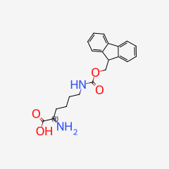 N[C@H](CCCCNC(=O)OCC1c2ccccc2-c2ccccc21)C(=O)O